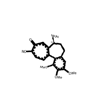 COc1cc2c(c(OC)c1OC)-c1ccc(C#N)c(=O)cc1[C@@H](NC(C)=O)CC2